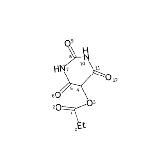 CCC(=O)OC1C(=O)NC(=O)NC1=O